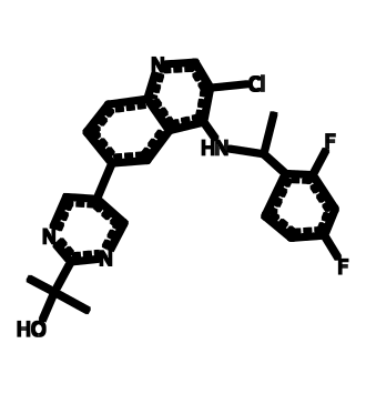 CC(Nc1c(Cl)cnc2ccc(-c3cnc(C(C)(C)O)nc3)cc12)c1ccc(F)cc1F